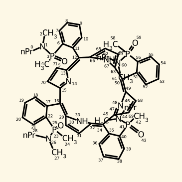 CCCN(C)P(C)(=O)c1ccccc1-c1c2nc(c(-c3ccccc3P(C)(=O)N(C)CCC)c3ccc([nH]3)c(-c3ccccc3P(C)(=O)N(C)CCC)c3nc(c(-c4ccccc4P(C)(=O)N(C)CCC)c4ccc1[nH]4)C=C3)C=C2